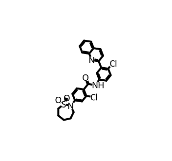 O=C(Nc1ccc(Cl)c(-c2ccc3ccccc3n2)c1)c1ccc(N2CCCCCS2(=O)=O)cc1Cl